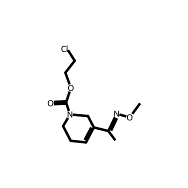 CON=C(C)C1=CCCN(C(=O)OCCCl)C1